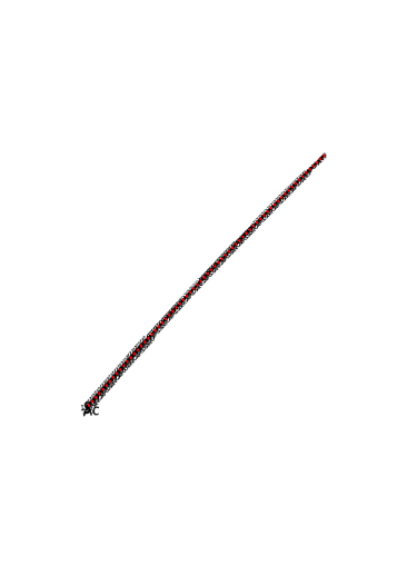 CC#CC#CC#CC#CC#CC#CC#CC#CC#CC#CC#CC#CC#CC#CC#CC#CC#CC#CC#CC#CC#CC#CC#CC#CC#CC#CC#CC#CC#CC#CC#CC#CC#CC#CC#CC#CC#CC#CC#CC#CC#CC#CC#CC#CC#CC#CC#CC#CC#CC#CC#CC#CC#CC#CC#CC#CC#CC#CC#CC#CC#CC#CC#CC#CC#CC#CC#CSC(C)=O